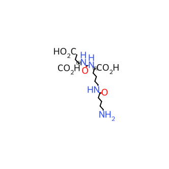 NCCCCC(=O)NCCCC[C@H](NC(=O)N[C@@H](CCC(=O)O)C(=O)O)C(=O)O